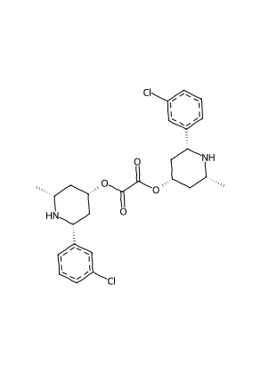 C[C@@H]1C[C@H](OC(=O)C(=O)O[C@H]2C[C@@H](C)N[C@@H](c3cccc(Cl)c3)C2)C[C@H](c2cccc(Cl)c2)N1